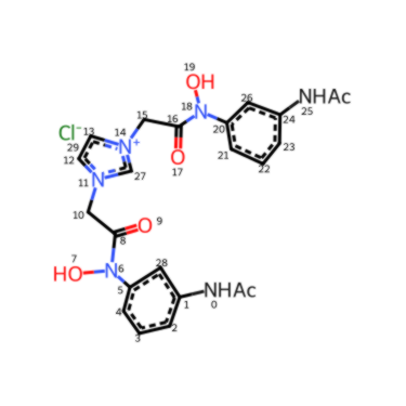 CC(=O)Nc1cccc(N(O)C(=O)Cn2cc[n+](CC(=O)N(O)c3cccc(NC(C)=O)c3)c2)c1.[Cl-]